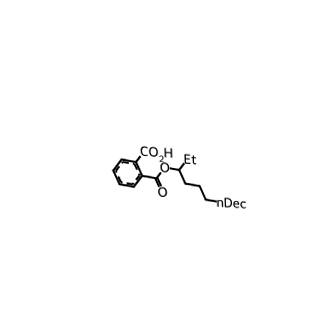 CCCCCCCCCCCCCC(CC)OC(=O)c1ccccc1C(=O)O